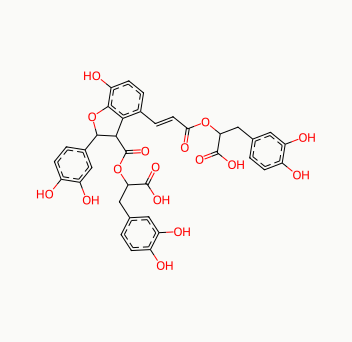 O=C(C=Cc1ccc(O)c2c1C(C(=O)OC(Cc1ccc(O)c(O)c1)C(=O)O)C(c1ccc(O)c(O)c1)O2)OC(Cc1ccc(O)c(O)c1)C(=O)O